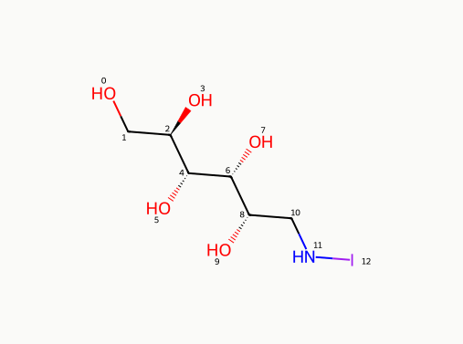 OC[C@@H](O)[C@@H](O)[C@H](O)[C@@H](O)CNI